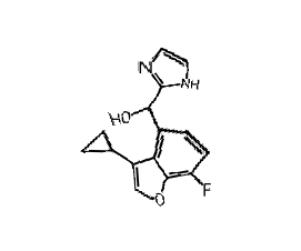 OC(c1ncc[nH]1)c1ccc(F)c2occ(C3CC3)c12